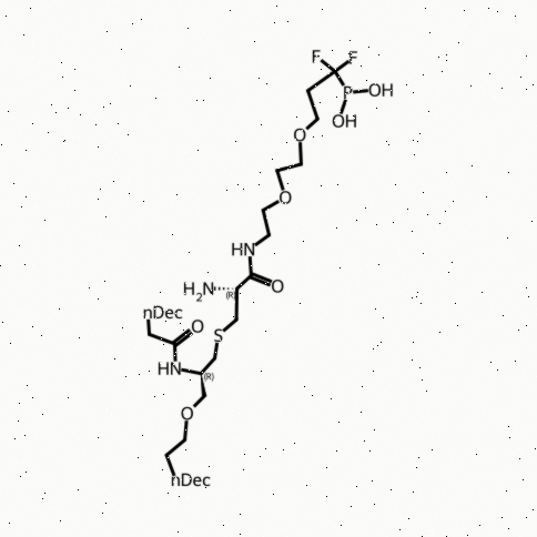 CCCCCCCCCCCCOC[C@H](CSC[C@H](N)C(=O)NCCOCCOCCC(F)(F)P(O)O)NC(=O)CCCCCCCCCCC